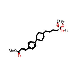 CCO[Si](CCCCC1CCC(c2ccc(C=CC(=O)OC)cc2)CC1)(OCC)OCC